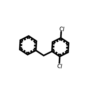 Clc1ccc(Cl)c(Cc2ccccc2)c1